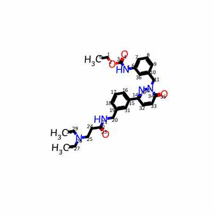 CCOC(=O)Nc1cccc(Cn2nc(-c3cccc(CNC(=O)CCN(CC)CC)c3)ccc2=O)c1